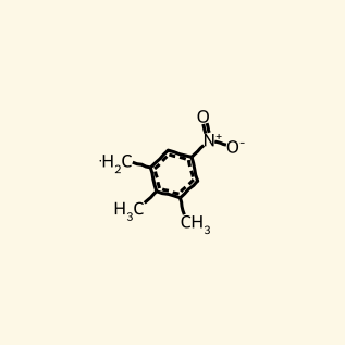 [CH2]c1cc([N+](=O)[O-])cc(C)c1C